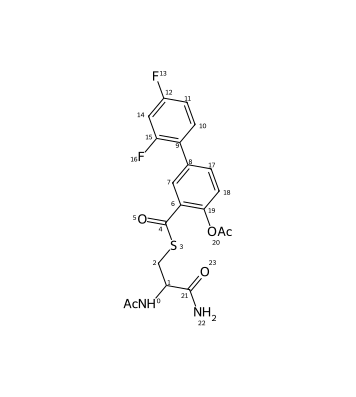 CC(=O)NC(CSC(=O)c1cc(-c2ccc(F)cc2F)ccc1OC(C)=O)C(N)=O